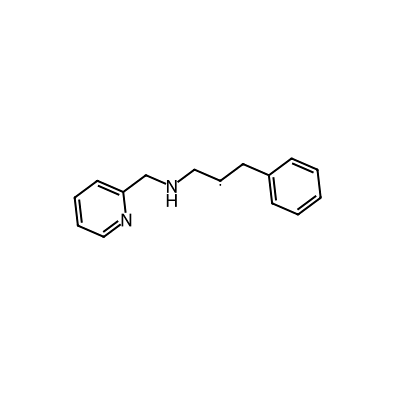 [CH](CNCc1ccccn1)Cc1ccccc1